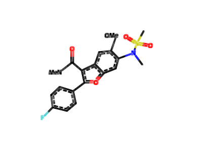 CNC(=O)c1c(-c2ccc(F)cc2)oc2cc(N(C)S(C)(=O)=O)c(OC)cc12